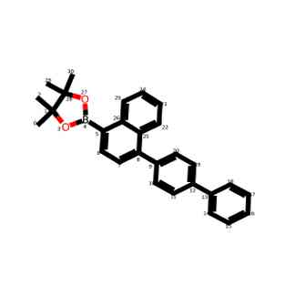 CC1(C)OB(c2ccc(-c3ccc(-c4ccccc4)cc3)c3ccccc23)OC1(C)C